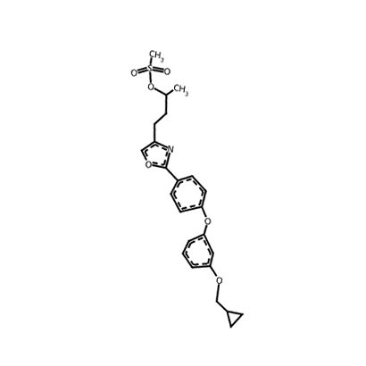 CC(CCc1coc(-c2ccc(Oc3cccc(OCC4CC4)c3)cc2)n1)OS(C)(=O)=O